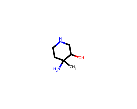 CC1(N)CCNCC1O